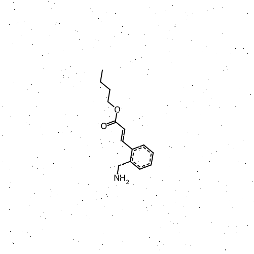 CCCCOC(=O)C=Cc1ccccc1CN